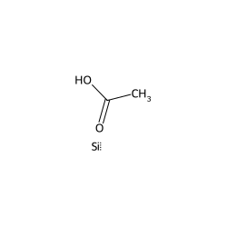 CC(=O)O.[Si]